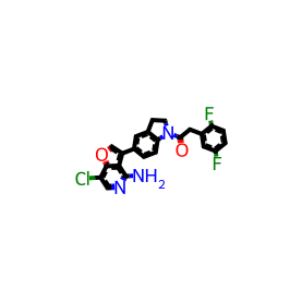 Nc1ncc(Cl)c2occ(-c3ccc4c(c3)CCN4C(=O)Cc3cc(F)ccc3F)c12